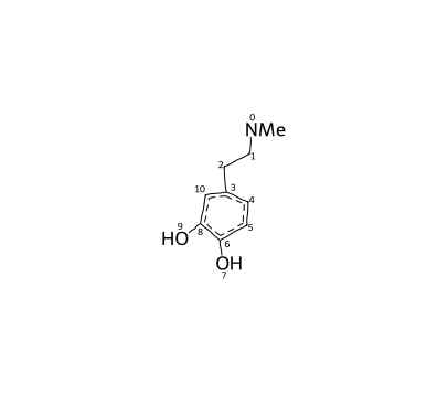 [CH2-][NH2+]CCc1ccc(O)c(O)c1